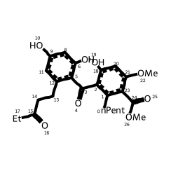 CCCCCc1c(C(=O)c2c(O)cc(O)cc2CCC(=O)CC)c(O)cc(OC)c1C(=O)OC